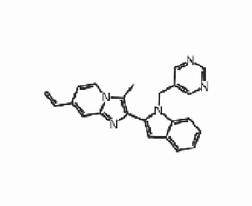 C=Cc1ccn2c(C)c(-c3cc4ccccc4n3Cc3cncnc3)nc2c1